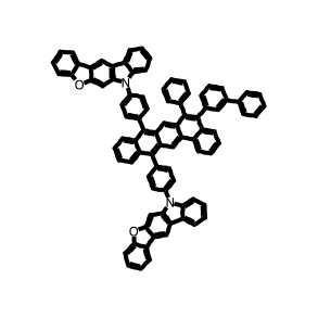 c1ccc(-c2cccc(-c3c(-c4ccccc4)c4cc5c(-c6ccc(-n7c8ccccc8c8cc9c(cc87)oc7ccccc79)cc6)c6ccccc6c(-c6ccc(-n7c8ccccc8c8cc9c(cc87)oc7ccccc79)cc6)c5cc4c4ccccc34)c2)cc1